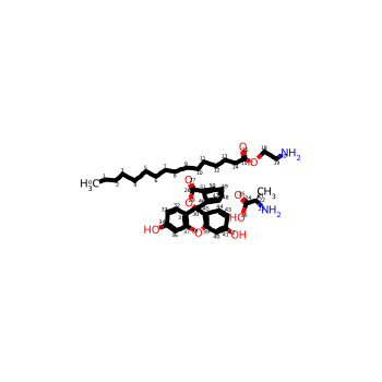 CCCCCCCCCCCCCCCC(=O)OCCN.C[C@H](N)C(=O)O.O=C1OC2(c3ccc(O)cc3Oc3cc(O)ccc32)c2ccccc21